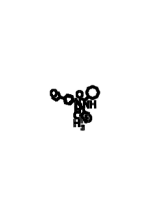 Cc1nocc1C(=O)NC(C(=O)Nc1ccc(C2CCOC2)cc1)C1CCCCCCC1